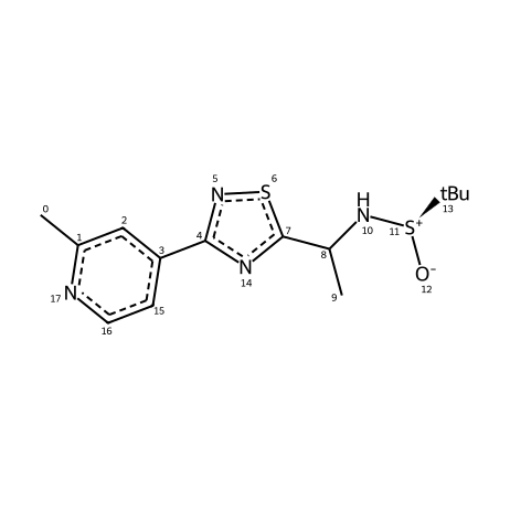 Cc1cc(-c2nsc(C(C)N[S@+]([O-])C(C)(C)C)n2)ccn1